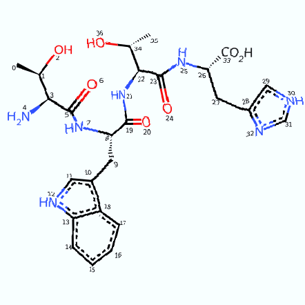 C[C@@H](O)[C@H](N)C(=O)N[C@@H](Cc1c[nH]c2ccccc12)C(=O)N[C@H](C(=O)N[C@@H](Cc1c[nH]cn1)C(=O)O)[C@@H](C)O